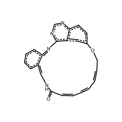 O=C1\C=C/C=C\C=C/COc2ccc3ncnc(c3c2)/N=c2/cccc/c2=C/N1